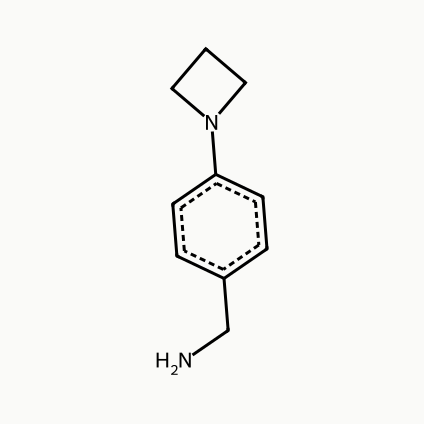 NCc1ccc(N2CCC2)cc1